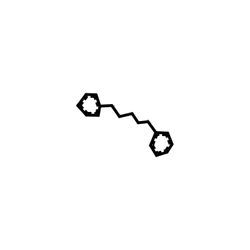 [CH](CCC[CH]c1ccccc1)c1ccccc1